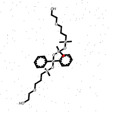 C[Si](C)(CCCOCCO)O[Si](C)(C)O[Si](O[Si](C)(C)CCCOCCO)(c1ccccc1)c1ccccc1